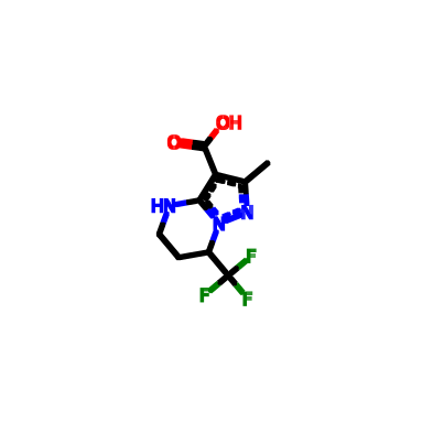 Cc1nn2c(c1C(=O)O)NCCC2C(F)(F)F